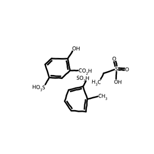 CCS(=O)(=O)O.Cc1ccccc1S(=O)(=O)O.O=C(O)c1cc(S(=O)(=O)O)ccc1O